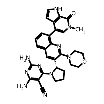 Cn1cc(-c2cccc3cc([C@@H]4CCCN4c4nc(N)nc(N)c4C#N)c(N4CCOCC4)nc23)c2cc[nH]c2c1=O